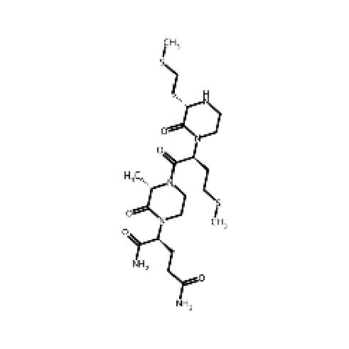 CSCC[C@@H]1NCCN([C@@H](CCSC)C(=O)N2CCN([C@@H](CCC(N)=O)C(N)=O)C(=O)[C@@H]2C)C1=O